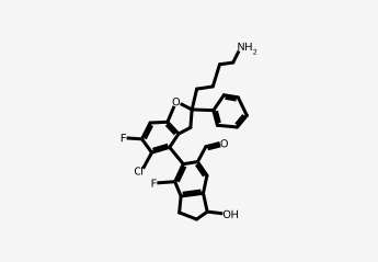 NCCCCC1(c2ccccc2)Cc2c(cc(F)c(Cl)c2-c2c(C=O)cc3c(c2F)CCC3O)O1